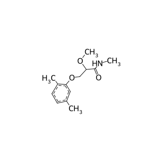 CNC(=O)C(COc1cc(C)ccc1C)OC